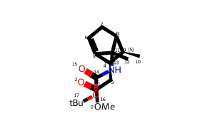 COC(=O)C[C@H]1C2=CCC([C@H]1C)C2(C)NC(=O)OC(C)(C)C